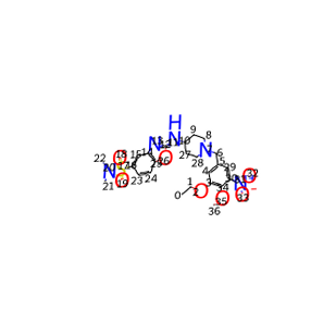 CCOc1cc(CN2CCC(Nc3nc4cc(S(=O)(=O)N(C)C)ccc4o3)CC2)cc([N+](=O)[O-])c1OC